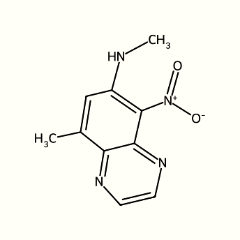 CNc1cc(C)c2nccnc2c1[N+](=O)[O-]